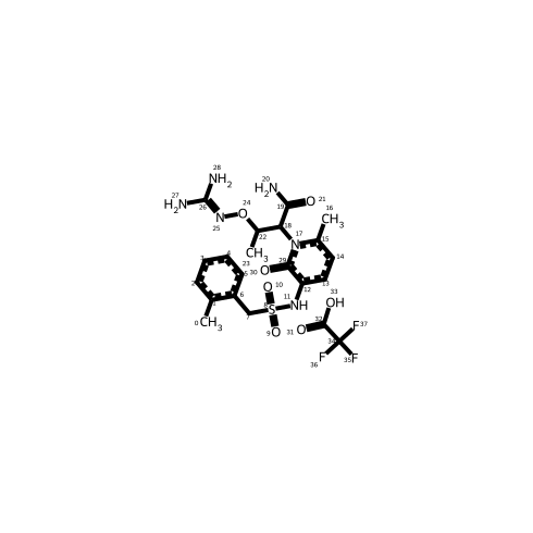 Cc1ccccc1CS(=O)(=O)Nc1ccc(C)n(C(C(N)=O)C(C)ON=C(N)N)c1=O.O=C(O)C(F)(F)F